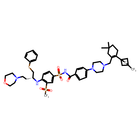 CC1(C)CCC(C23CC(C(F)(F)F)(C2)C3)=C(CN2CCN(c3ccc(C(=O)NS(=O)(=O)c4ccc(N[C@H](CCN5CCOCC5)CSc5ccccc5)c(S(=O)(=O)C(F)(F)F)c4)cc3)CC2)C1